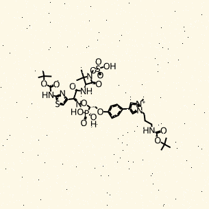 C[n+]1cc(-c2ccc(OC[C@@H](O/N=C(\C(=O)N[C@@H]3C(=O)N(OS(=O)(=O)O)C3(C)C)c3csc(NC(=O)OC(C)(C)C)n3)P(=O)(O)O)cc2)cn1CCCNC(=O)OC(C)(C)C